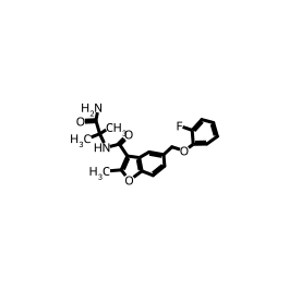 Cc1oc2ccc(COc3ccccc3F)cc2c1C(=O)NC(C)(C)C(N)=O